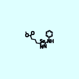 COC(=O)CCCc1nnc(Nc2ccccc2)[se]1